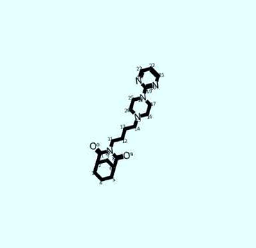 O=C1C2CCCC(C2)C(=O)N1CCCCN1CCN(c2ncccn2)CC1